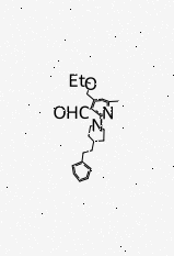 CCOCc1cc(C)nc(N2CCC(CCc3ccccc3)CC2)c1C=O